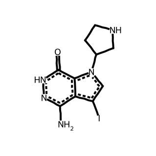 Nc1n[nH]c(=O)c2c1c(I)cn2C1CCNC1